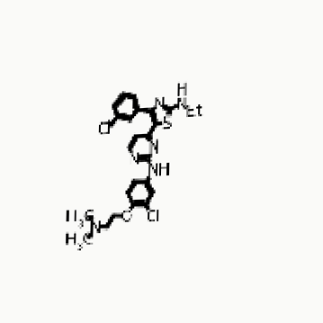 CCNc1nc(-c2cccc(Cl)c2)c(-c2ccnc(Nc3ccc(OCCN(C)C)c(Cl)c3)n2)s1